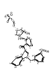 COc1cccc(Cn2cc(C(=O)c3cncnc3N[C@@H]3C[C@H](COS(N)(=O)=O)C[C@H]3O)c3ccccc32)c1